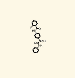 O=C(Nc1ccc(N(S)C(=O)Nc2ccccc2)cc1)c1ccccc1F